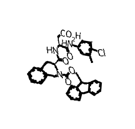 Cc1cc(NC(=O)[C@H](CC(=O)O)NC(=O)[C@@H]2Cc3ccccc3CN2C(=O)OCC2c3ccccc3-c3ccccc32)ccc1Cl